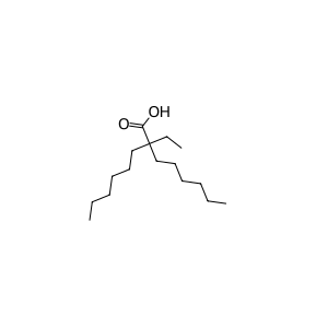 CCCCCCC(CC)(CCCCCC)C(=O)O